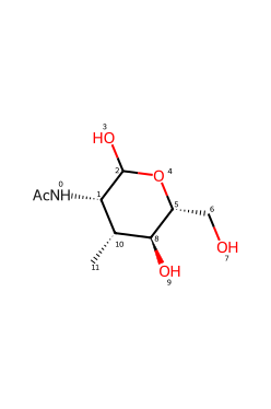 CC(=O)N[C@@H]1C(O)O[C@H](CO)[C@@H](O)[C@@H]1C